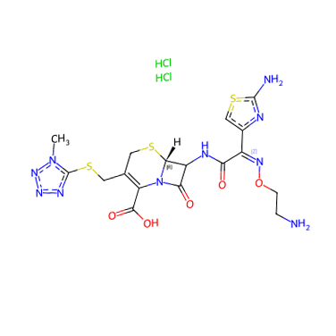 Cl.Cl.Cn1nnnc1SCC1=C(C(=O)O)N2C(=O)C(NC(=O)/C(=N\OCCN)c3csc(N)n3)[C@H]2SC1